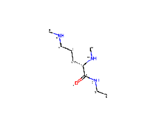 CCNC(=O)[C@H](CCCNC)NC